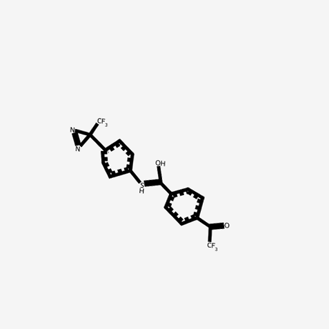 O=C(c1ccc(C(O)=[SH]c2ccc(C3(C(F)(F)F)N=N3)cc2)cc1)C(F)(F)F